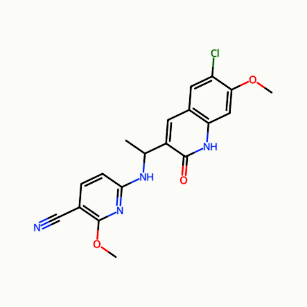 COc1cc2[nH]c(=O)c(C(C)Nc3ccc(C#N)c(OC)n3)cc2cc1Cl